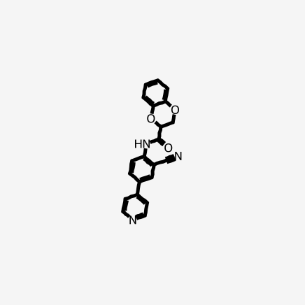 N#Cc1cc(-c2ccncc2)ccc1NC(=O)C1COc2ccccc2O1